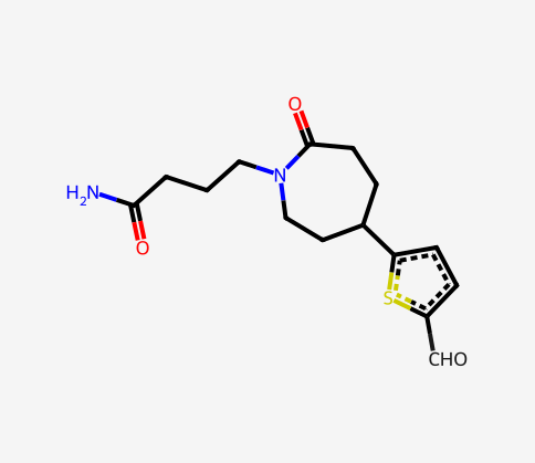 NC(=O)CCCN1CCC(c2ccc(C=O)s2)CCC1=O